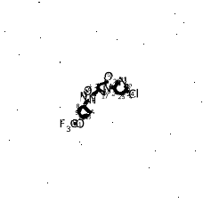 O=C1CC(c2nc(-c3ccc(OC(F)(F)F)cc3)no2)CN1C1=CN=CC(Cl)=CC1